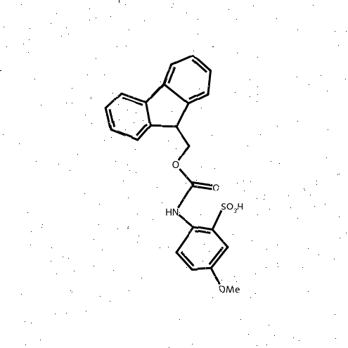 COc1ccc(NC(=O)OCC2c3ccccc3-c3ccccc32)c(S(=O)(=O)O)c1